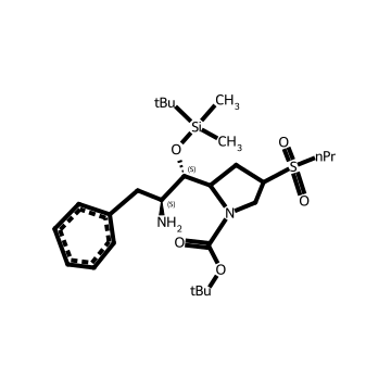 CCCS(=O)(=O)C1CC([C@@H](O[Si](C)(C)C(C)(C)C)[C@@H](N)Cc2ccccc2)N(C(=O)OC(C)(C)C)C1